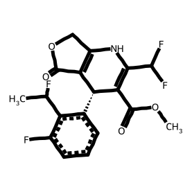 COC(=O)C1=C(C(F)F)NC2=C(C(=O)OC2)[C@H]1c1cccc(F)c1C(C)F